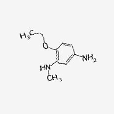 CCOc1ccc(N)cc1NC